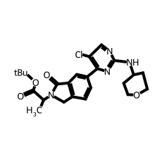 CC(C(=O)OC(C)(C)C)N1Cc2ccc(-c3nc(NC4CCOCC4)ncc3Cl)cc2C1=O